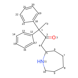 CC(C(=O)CC1CCCCCN1)(c1ccccc1)c1ccccc1